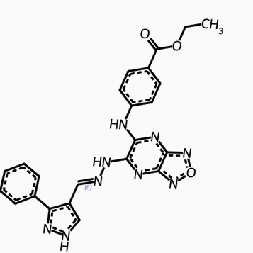 CCOC(=O)c1ccc(Nc2nc3nonc3nc2N/N=C/c2c[nH]nc2-c2ccccc2)cc1